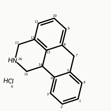 Cl.c1ccc2c(c1)Cc1cccc3c1C2CNC3